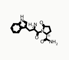 NC(=O)[C@@H]1CCC(=O)N1C(=O)C(N)Cc1c[nH]c2ccccc12